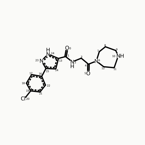 O=C(NCC(=O)N1CCCNCC1)c1cc(-c2ccc(Cl)cc2)n[nH]1